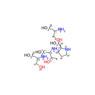 CC(O)C(N)C(=O)O.NC(CO)C(=O)O.NC(CO)C(=O)O.O=C(O)[C@@H]1CCCN1